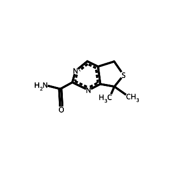 CC1(C)SCc2cnc(C(N)=O)nc21